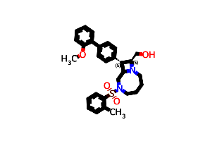 COc1ccccc1-c1ccc([C@H]2C3CN(S(=O)(=O)c4ccccc4C)CCCCN3[C@@H]2CO)cc1